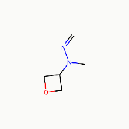 C=NN(C)C1COC1